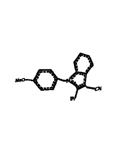 COc1ccc(-n2c(C(C)C)c(C#N)c3ccccc32)cc1